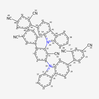 N#Cc1cccc(-c2ccc(-n3c4ccccc4c4ccc(-c5ccc(C#N)cc5C#N)cc43)c(C#N)c2-n2c3ccccc3c3ccc(-c4ccc(C#N)cc4C#N)cc32)c1